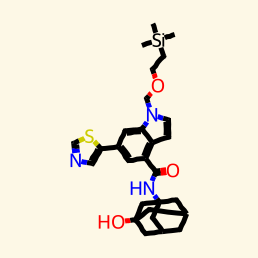 C[Si](C)(C)CCOCn1ccc2c(C(=O)NC34CC5CC(CC(O)(C5)C3)C4)cc(-c3cncs3)cc21